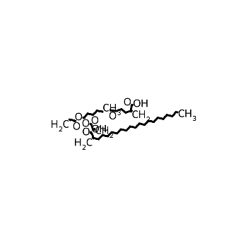 C=C(CCC1CO1)C(=O)O.C=C(CCCCCCCCCCCCCCCCCCC)C(=O)O.C=CC(=O)OC(CCCCC)OC(=O)C=C